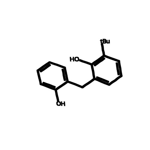 CC(C)(C)c1cccc(Cc2ccccc2O)c1O